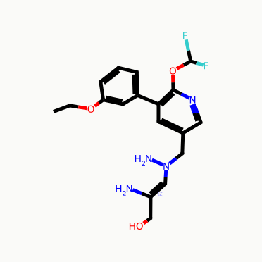 CCOc1cccc(-c2cc(CN(N)/C=C(\N)CO)cnc2OC(F)F)c1